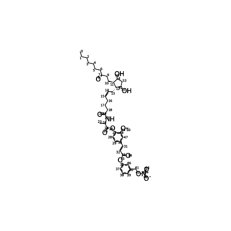 CCCCCCCC(=O)CC[C@@H]1[C@@H](C/C=C\CCCC(=O)NC(C)C(=O)Oc2ccc(/C=C/C(=O)Oc3cccc(CO[N+](=O)[O-])c3)cc2OC)[C@@H](O)C[C@H]1O